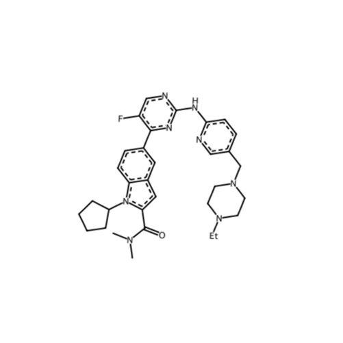 CCN1CCN(Cc2ccc(Nc3ncc(F)c(-c4ccc5c(c4)cc(C(=O)N(C)C)n5C4CCCC4)n3)nc2)CC1